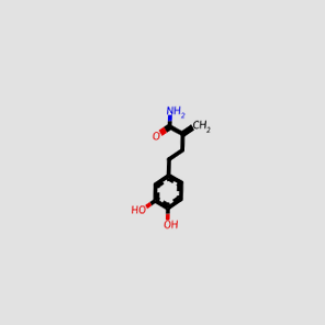 C=C(CCc1ccc(O)c(O)c1)C(N)=O